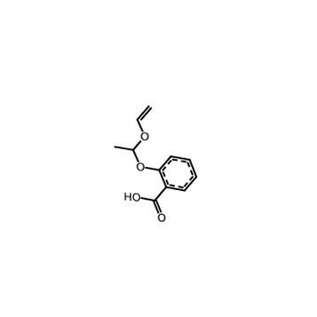 C=COC(C)Oc1ccccc1C(=O)O